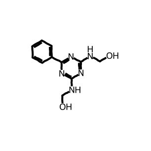 OCNc1nc(NCO)nc(-c2ccccc2)n1